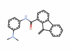 C=C1c2ccccc2-c2cccc(C(=O)Nc3cccc(N(C)C)c3)c21